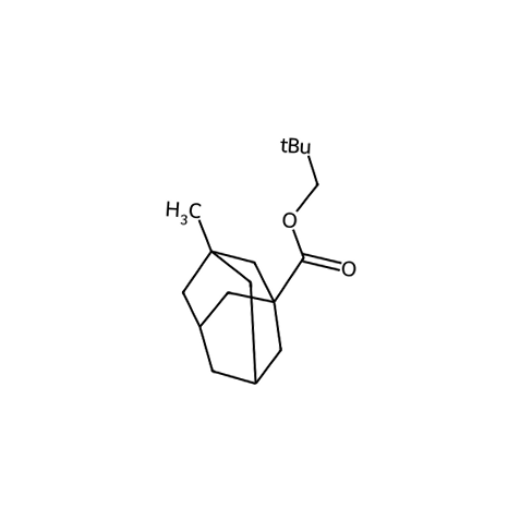 CC(C)(C)COC(=O)C12CC3CC(CC(C)(C3)C1)C2